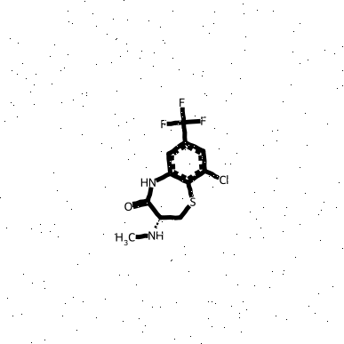 CN[C@H]1CSc2c(Cl)cc(C(F)(F)F)cc2NC1=O